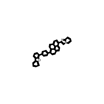 c1ccc2c(c1)oc1c(-c3ccc(-c4ccc5ccc6c(-c7cn8ccccc8n7)ccc7ccc4c5c76)cc3)cccc12